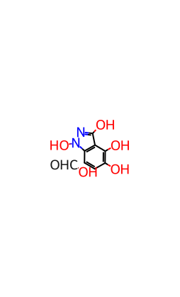 O=CO.Oc1ccc2c(c(O)nn2O)c1O